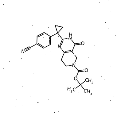 CC(C)(C)OC(=O)N1CCc2nc(C3(c4ccc(C#N)cc4)CC3)[nH]c(=O)c2C1